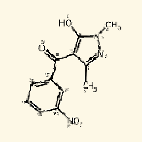 Cc1nn(C)c(O)c1C(=O)c1cccc([N+](=O)[O-])c1